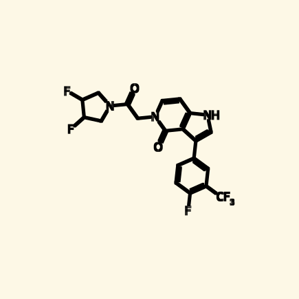 O=C(Cn1ccc2[nH]cc(-c3ccc(F)c(C(F)(F)F)c3)c2c1=O)N1CC(F)C(F)C1